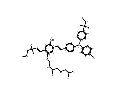 CCCC(C)(C)C=Cc1cc(O)c(C=Cc2ccc(N(c3ccc(C)cc3)c3ccc(C(C)(C)CC)cc3)cc2)cc1OCCC(C)CCCC(C)C